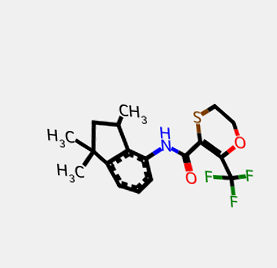 CC1CC(C)(C)c2cccc(NC(=O)C3=C(C(F)(F)F)OCCS3)c21